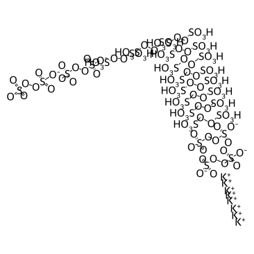 O=S(=O)(O)OOS(=O)(=O)O.O=S(=O)(O)OOS(=O)(=O)O.O=S(=O)(O)OOS(=O)(=O)O.O=S(=O)(O)OOS(=O)(=O)O.O=S(=O)(O)OOS(=O)(=O)O.O=S(=O)(O)OOS(=O)(=O)O.O=S(=O)(O)OOS(=O)(=O)O.O=S(=O)(O)OOS(=O)(=O)O.O=S(=O)(O)OOS(=O)(=O)O.O=S(=O)(O)OOS(=O)(=O)O.O=S(=O)([O-])OOS(=O)(=O)[O-].O=S(=O)([O-])OOS(=O)(=O)[O-].O=S(=O)([O-])OOS(=O)(=O)[O-].O=S(=O)([O-])OOS(=O)(=O)[O-].[K+].[K+].[K+].[K+].[K+].[K+].[K+].[K+]